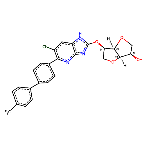 O[C@@H]1CO[C@H]2[C@@H]1OC[C@H]2Oc1nc2nc(-c3ccc(-c4ccc(C(F)(F)F)cc4)cc3)c(Cl)cc2[nH]1